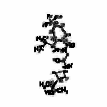 CC(C)c1nn(CC(=O)N[C@H]2C[C@H](C(C)(C)O)C2)c(=O)c2ccc(C(F)(F)F)cc12